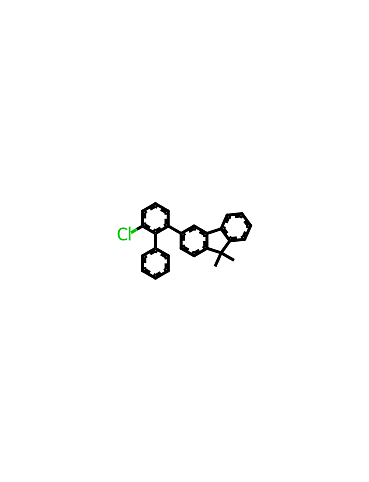 CC1(C)c2ccccc2-c2cc(-c3cccc(Cl)c3-c3ccccc3)ccc21